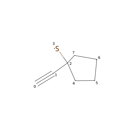 C#CC1([S])CCCC1